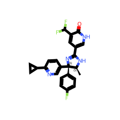 C[C@@H]1NC(c2c[nH]c(=O)c(C(F)F)c2)=N[C@@]1(c1ccc(F)cc1)c1ccc(C2CC2)nc1